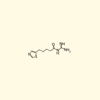 N=C(N)NC(=O)CC[CH]Cc1cncs1